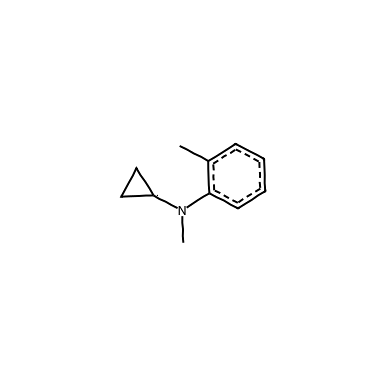 Cc1ccccc1N(C)[C]1CC1